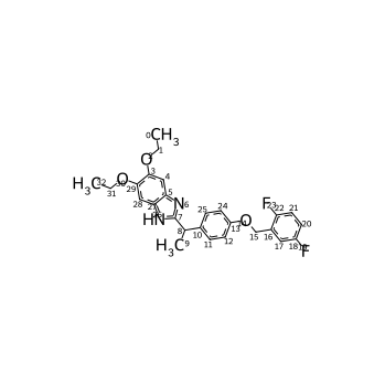 CCOc1cc2nc(C(C)c3ccc(OCc4cc(F)ccc4F)cc3)[nH]c2cc1OCC